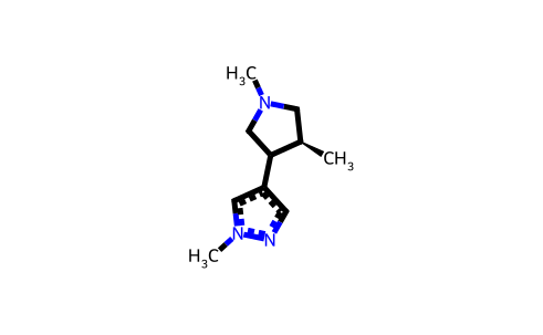 C[C@@H]1CN(C)CC1c1cnn(C)c1